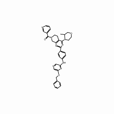 CC1COCCN1c1nc(-c2ccc(Nc3cncc(OCc4ccccc4)n3)cc2)nc2c1CCN(C(=O)c1cccnc1)C2